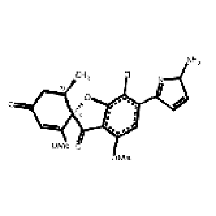 COC1=CC(=O)C[C@@H](C)[C@]12Oc1c(Cl)c(C3=NC(N)C=C3)cc(OC)c1C2=O